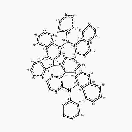 c1ccc(N(c2cccc3c2-c2ccccc2C32c3ccccc3-c3c2cc(N(c2ccccc2)c2cccc4ccccc24)c2ccccc32)c2cccc3ccccc23)cc1